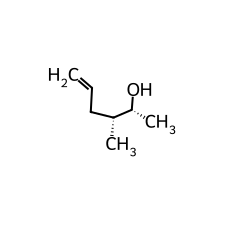 C=CC[C@@H](C)[C@@H](C)O